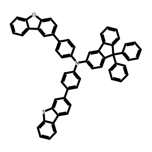 c1ccc(C2(c3ccccc3)c3ccccc3-c3cc(N(c4ccc(-c5ccc6c(c5)sc5ccccc56)cc4)c4ccc(-c5ccc6oc7ccccc7c6c5)cc4)ccc32)cc1